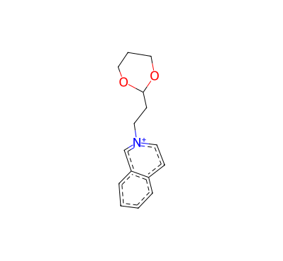 c1ccc2c[n+](CCC3OCCCO3)ccc2c1